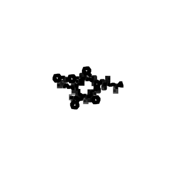 O=C(NCCNC1CC1)OC1C[C@H]2C(=O)N[C@H](c3ccccc3)C(=O)NC(Cc3cn(I)c4ccccc34)C(=O)N[C@H](CCCCNI)C(=O)N[C@H](Cc3ccc(OCc4ccccc4)cc3)C(=O)N[C@H](Cc3ccccc3)C(=O)N2C1